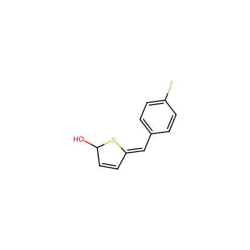 OC1C=CC(=Cc2ccc(F)cc2)S1